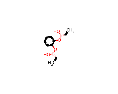 C=CB(O)Oc1ccccc1OB(O)C=C